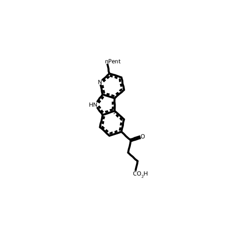 CCCCCc1ccc2c(n1)[nH]c1ccc(C(=O)CCC(=O)O)cc12